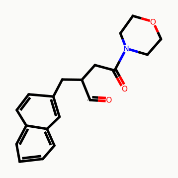 O=[C]C(CC(=O)N1CCOCC1)Cc1ccc2ccccc2c1